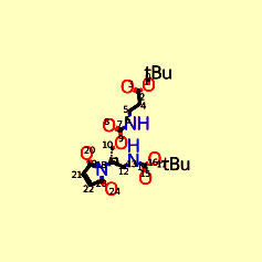 CC(C)(C)OC(=O)CCNC(=O)OC[C@H](CNC(=O)OC(C)(C)C)N1C(=O)C=CC1=O